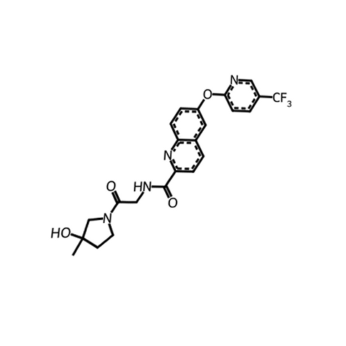 CC1(O)CCN(C(=O)CNC(=O)c2ccc3cc(Oc4ccc(C(F)(F)F)cn4)ccc3n2)C1